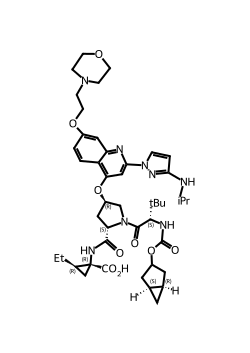 CC[C@@H]1C[C@]1(NC(=O)[C@@H]1C[C@@H](Oc2cc(-n3ccc(NC(C)C)n3)nc3cc(OCCN4CCOCC4)ccc23)CN1C(=O)[C@@H](NC(=O)OC1C[C@@H]2C[C@@H]2C1)C(C)(C)C)C(=O)O